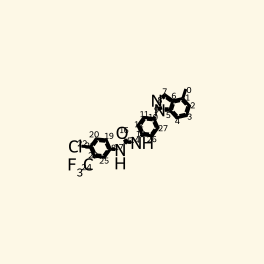 Cc1cccc2c1cnn2-c1ccc(NC(=O)Nc2ccc(Cl)c(C(F)(F)F)c2)cc1